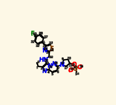 CCc1nc2ccc(N3CCC(OS(C)(=O)=O)C3)nn2c1NCc1nc(-c2ccc(F)cc2)cs1